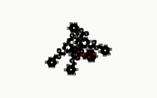 O=CCN1CCN(CC(=O)OCc2ccccc2)CC(CCCC2(N(CC(=O)OCc3ccccc3)CC(=O)OCc3ccccc3)CN(CC(=O)O)CCN(CC(=O)OCc3ccccc3)C2)(C(CC(=O)OCc2ccccc2)CC(=O)OCc2ccccc2)C1